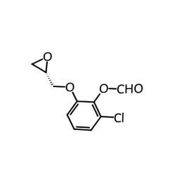 O=COc1c(Cl)cccc1OC[C@@H]1CO1